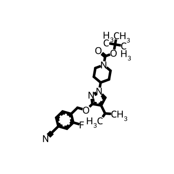 CC(C)c1cn(C2CCN(C(=O)OC(C)(C)C)CC2)nc1OCc1ccc(C#N)cc1F